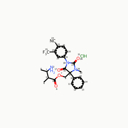 CC(N)C(C)C(=O)OCC1(c2ccccc2)C(=O)N(c2ccc(C#N)c(C(F)(F)F)c2)C(=O)N1C.Cl